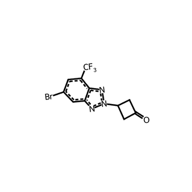 O=C1CC(n2nc3cc(Br)cc(C(F)(F)F)c3n2)C1